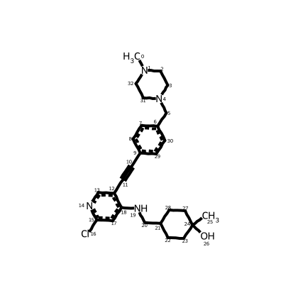 CN1CCN(Cc2ccc(C#Cc3cnc(Cl)cc3NCC3CCC(C)(O)CC3)cc2)CC1